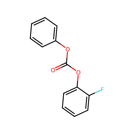 O=C(Oc1ccccc1)Oc1ccccc1F